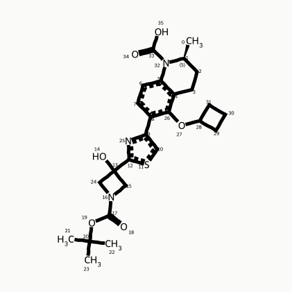 C[C@H]1CCc2c(ccc(-c3csc(C4(O)CN(C(=O)OC(C)(C)C)C4)n3)c2OC2CCC2)N1C(=O)O